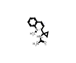 C=Nc1ccccc1/C=C\CC1(NC(N)=O)CC1